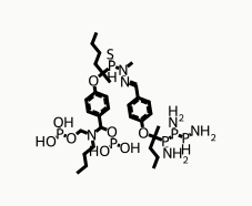 CCCCN(COP(O)O)C(OP(O)O)c1ccc(OC(C)(CCCC)[PH](=S)N(C)/N=C/c2ccc(OC(C)(CCC)P(N)P(N)PN)cc2)cc1